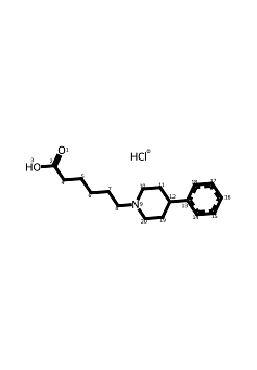 Cl.O=C(O)CCCCCN1CCC(c2ccccc2)CC1